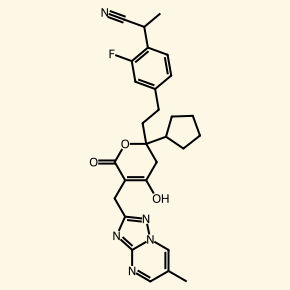 Cc1cnc2nc(CC3=C(O)CC(CCc4ccc(C(C)C#N)c(F)c4)(C4CCCC4)OC3=O)nn2c1